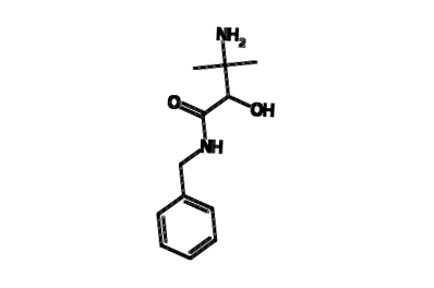 CC(C)(N)C(O)C(=O)NCc1ccccc1